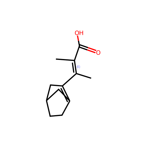 C/C(C(=O)O)=C(/C)C1=C2CCC(C2)C1